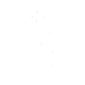 CC(C)=CCCC(C)=CCCC(C)=CCCC(C)(O)CCc1cc(O)c(O)c(C)c1C